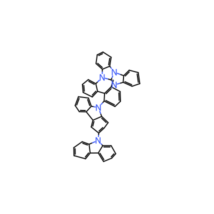 Cc1cccc(-n2c3ccccc3c3cc(-n4c5ccccc5c5ccccc54)ccc32)c1-c1ccccc1-n1c2ccccc2n2c3ccccc3nc12